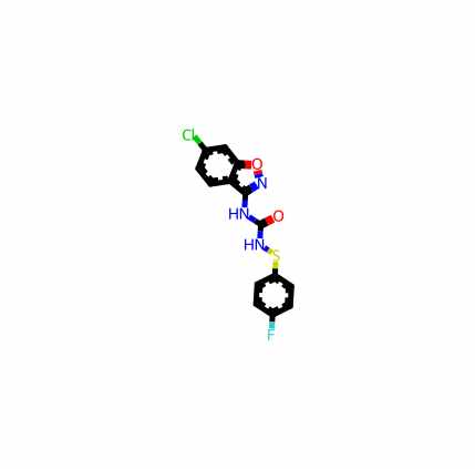 O=C(NSc1ccc(F)cc1)Nc1noc2cc(Cl)ccc12